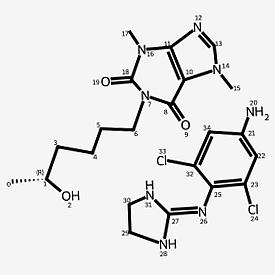 C[C@@H](O)CCCCn1c(=O)c2c(ncn2C)n(C)c1=O.Nc1cc(Cl)c(N=C2NCCN2)c(Cl)c1